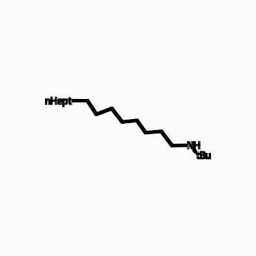 CCCCCCCCCCCCCCCNC(C)(C)C